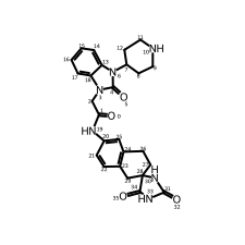 O=C(Cn1c(=O)n(C2CCNCC2)c2ccccc21)Nc1ccc2c(c1)CCC1(C2)NC(=O)NC1=O